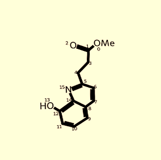 COC(=O)CCc1ccc2cccc(O)c2n1